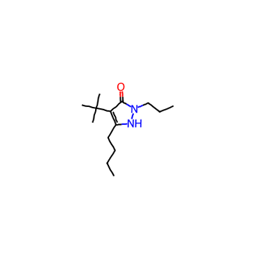 CCCCc1[nH]n(CCC)c(=O)c1C(C)(C)C